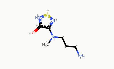 CN(CCCN)c1ns[nH]c1=O